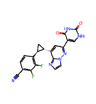 N#Cc1ccc([C@H]2C[C@@H]2c2cc(-c3c[nH]c(=O)[nH]c3=O)nn3ccnc23)c(F)c1F